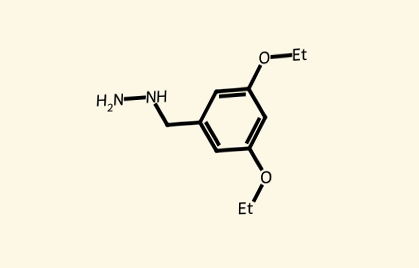 CCOc1cc(CNN)cc(OCC)c1